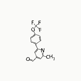 Cc1cc(C=O)cc(-c2ccc(OC(F)(F)F)cc2)n1